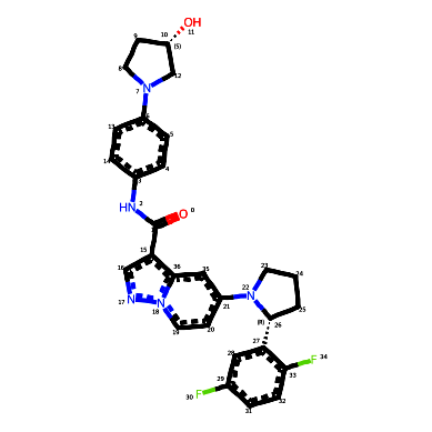 O=C(Nc1ccc(N2CC[C@H](O)C2)cc1)c1cnn2ccc(N3CCC[C@@H]3c3cc(F)ccc3F)cc12